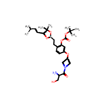 CC(C)CCC1OB(CCc2ccc(OC3CN(C(=O)C(N)CO)C3)cc2OC(=O)OC(C)(C)C)OC1(C)C